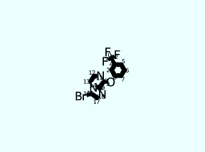 FC(F)(F)c1cccc(Oc2nccn3c(Br)cnc23)c1